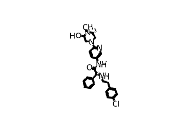 CN1CCN(c2ccc(NC(=O)[C@@H](NCCc3ccc(Cl)cc3)c3ccccc3)cn2)CC1O